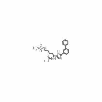 NS(=O)(=O)NCCCCC(NC(=O)O)c1cnc(-c2cccc(-c3ccccc3)c2)[nH]1